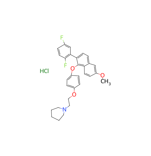 COc1ccc2c(Oc3ccc(OCCN4CCCCC4)cc3)c(-c3cc(F)ccc3F)ccc2c1.Cl